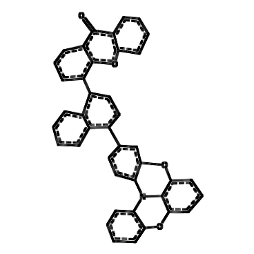 O=c1c2ccccc2oc2c(-c3ccc(-c4ccc5c(c4)Oc4cccc6c4N5c4ccccc4O6)c4ccccc34)cccc12